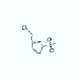 CS(=O)(=O)c1cccc(CCCl)c1